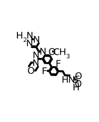 COc1cc(-c2c(F)ccc(CCCN[SH](=O)=O)c2F)cc2c(N3CCOCC3)nc(-c3cnc(N)nc3)nc12